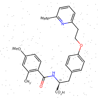 CNc1cccc(CCOc2ccc(C[C@H](NC(=O)c3ccc(OC)cc3C)C(=O)O)cc2)n1